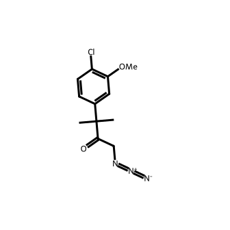 COc1cc(C(C)(C)C(=O)CN=[N+]=[N-])ccc1Cl